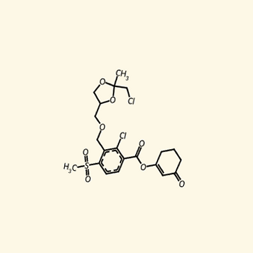 CC1(CCl)OCC(COCc2c(S(C)(=O)=O)ccc(C(=O)OC3=CC(=O)CCC3)c2Cl)O1